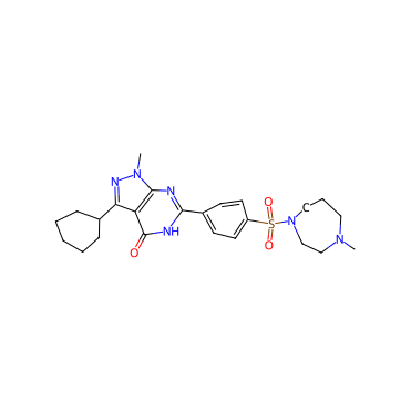 CN1CCCN(S(=O)(=O)c2ccc(-c3nc4c(c(C5CCCCC5)nn4C)c(=O)[nH]3)cc2)CC1